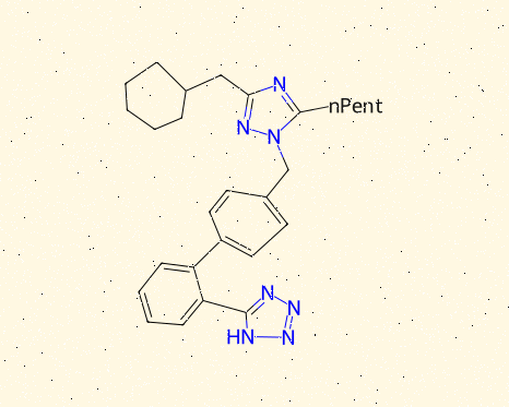 CCCCCc1nc(CC2CCCCC2)nn1Cc1ccc(-c2ccccc2-c2nnn[nH]2)cc1